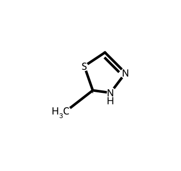 C[C]1NN=CS1